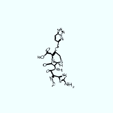 CO/N=C(/C(=O)NC1C(=O)N2C(C(=O)O)=C(CSc3ccc4nnnn4n3)CS[C@H]12)c1nsc(N)n1